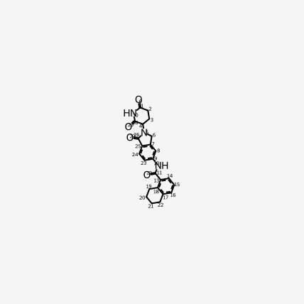 O=C1CCC(N2Cc3cc(NC(=O)c4cccc5c4CCCC5)ccc3C2=O)C(=O)N1